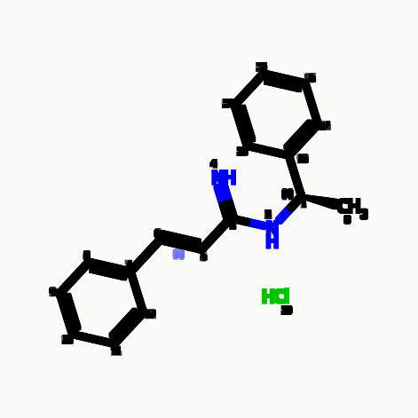 C[C@@H](NC(=N)/C=C/c1ccccc1)c1ccccc1.Cl